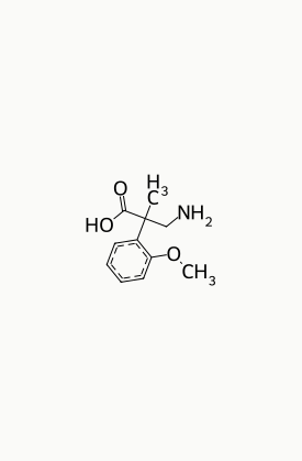 COc1ccccc1C(C)(CN)C(=O)O